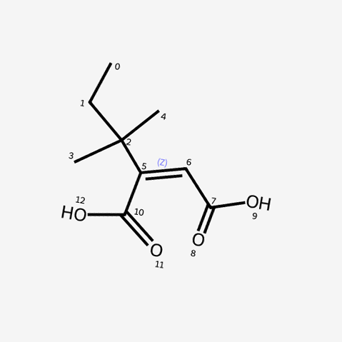 CCC(C)(C)/C(=C/C(=O)O)C(=O)O